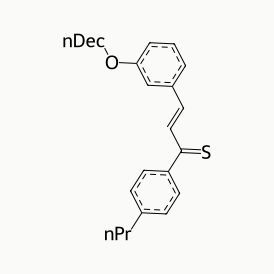 CCCCCCCCCCOc1cccc(C=CC(=S)c2ccc(CCC)cc2)c1